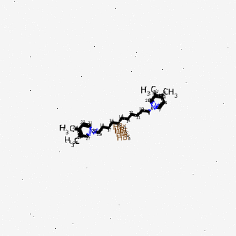 Br.Br.Br.Br.Cc1cc[n+](CCCCCCCCCCC[n+]2ccc(C)c(C)c2)cc1C